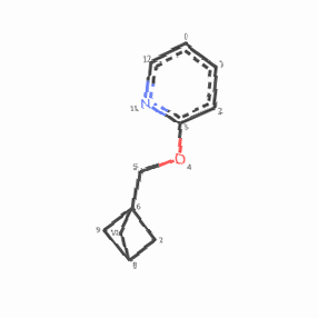 c1ccc(OCC23CC(C2)C3)nc1